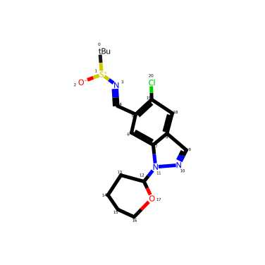 CC(C)(C)[S+]([O-])N=Cc1cc2c(cnn2C2CCCCO2)cc1Cl